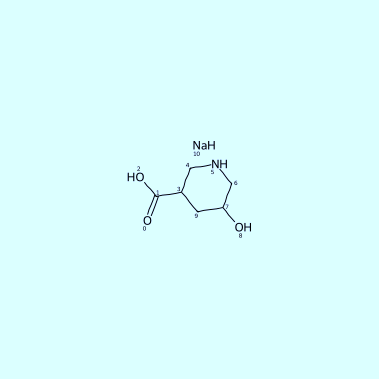 O=C(O)C1CNCC(O)C1.[NaH]